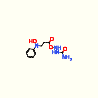 NC(=O)NNOC(=O)CCN(O)c1ccccc1